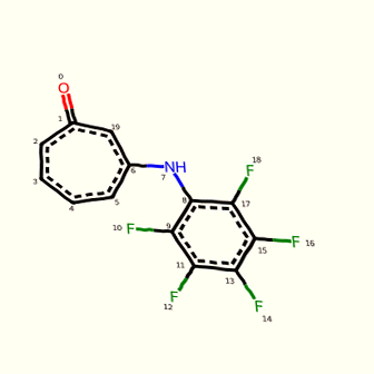 O=c1ccccc(Nc2c(F)c(F)c(F)c(F)c2F)c1